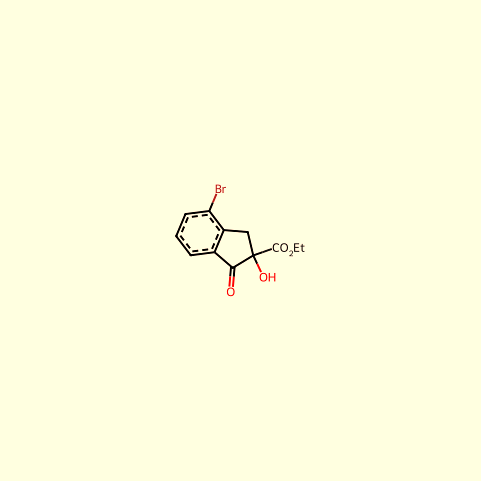 CCOC(=O)C1(O)Cc2c(Br)cccc2C1=O